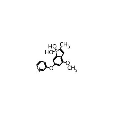 COc1cc(Oc2cccnc2)cc2c1C=C(C)S2(O)O